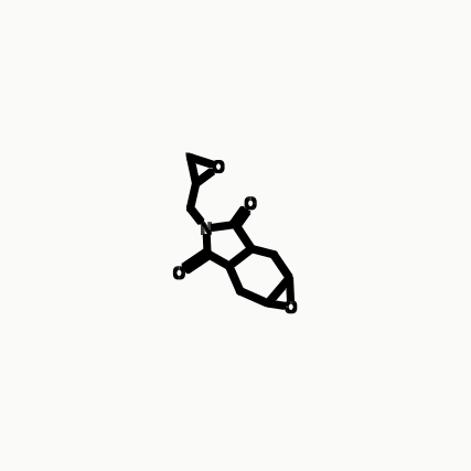 O=C1C2CC3OC3CC2C(=O)N1CC1CO1